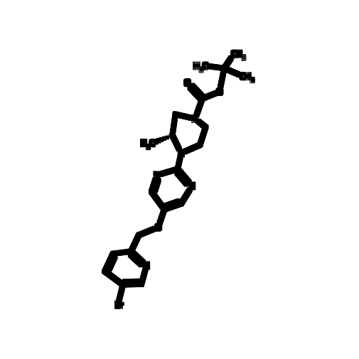 C[C@@H]1CN(C(=O)OC(C)(C)C)CCN1c1ncc(OCc2ccc(Br)cn2)cn1